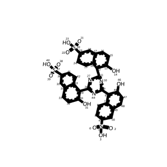 O=S(=O)(O)c1ccc2c(-c3nc(-c4c(O)ccc5cc(S(=O)(=O)O)ccc45)nc(-c4c(O)ccc5cc(S(=O)(=O)O)ccc45)n3)c(O)ccc2c1